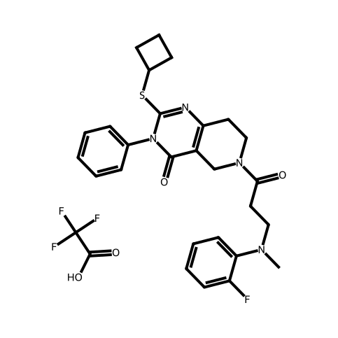 CN(CCC(=O)N1CCc2nc(SC3CCC3)n(-c3ccccc3)c(=O)c2C1)c1ccccc1F.O=C(O)C(F)(F)F